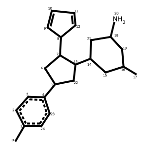 Cc1ccc(C2CC(C3C=CC=C3)C(C3CC(C)CC(N)C3)C2)cc1